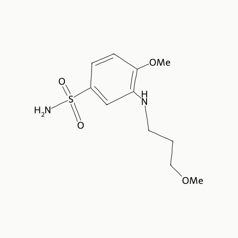 COCCCNc1cc(S(N)(=O)=O)ccc1OC